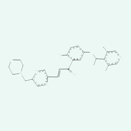 CC(Oc1ccc(N)c(C(=N)/C=C/c2cnc(CN3CCOCC3)cn2)c1)c1c(Cl)cncc1Cl